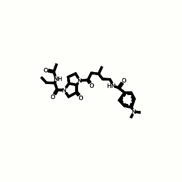 CCC(NC(C)=O)C(=O)N1CC(=O)C2C1CCN2C(=O)CC(C)CCNC(=O)c1ccc(N(C)C)cc1